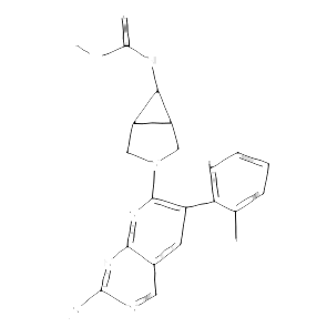 CC(C)(C)OC(=O)NC1C2CN(c3nc4nc(N)ncc4cc3-c3c(Cl)cccc3Cl)CC21